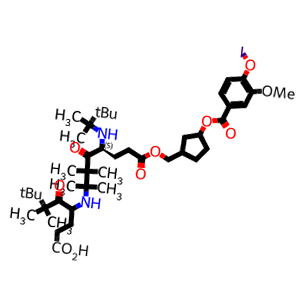 COc1cc(C(=O)OC2CCC(COC(=O)CC[C@H](NC(C)(C)C(C)(C)C)C(=O)C(C)(C)C(C)(C)NC(CCC(=O)O)C(=O)C(C)(C)C(C)(C)C)C2)ccc1OI